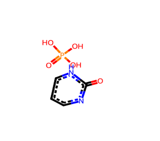 O=P(O)(O)O.O=c1nccc[nH]1